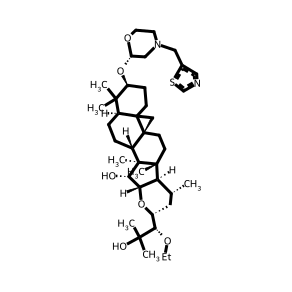 CCO[C@@H]([C@H]1C[C@@H](C)[C@H]2[C@H](O1)[C@H](O)[C@@]1(C)[C@@H]3CC[C@H]4C(C)(C)[C@@H](O[C@H]5CN(Cc6cncs6)CCO5)CCC45C[C@@]35CC[C@]21C)C(C)(C)O